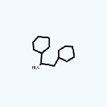 CC(C[C]1CCCCC1)[C]1CCCCC1